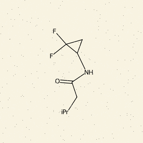 CC(C)CC(=O)NC1CC1(F)F